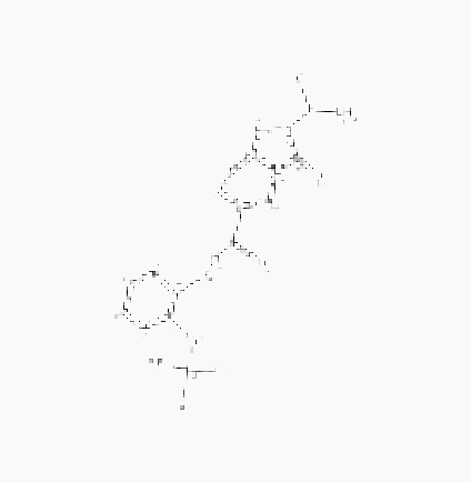 CC(N)n1nc2ccc(C(=O)NCc3ccccc3OC(F)(F)F)cn2c1=O